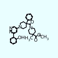 COC(=O)C1(C)CCN(C(=O)C2(c3ccccc3)CCN(c3cnnc(-c4ccccc4O)c3)CC2)CC1